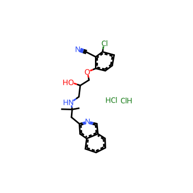 CC(C)(Cc1cc2ccccc2cn1)NCC(O)COc1cccc(Cl)c1C#N.Cl.Cl